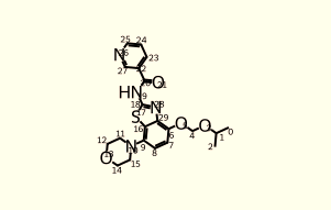 CC(C)OCOc1ccc(N2CCOCC2)c2sc(NC(=O)c3cccnc3)nc12